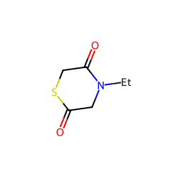 [CH2]CN1CC(=O)SCC1=O